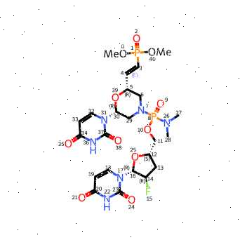 COP(=O)(/C=C/[C@@H]1CN(P(=O)(OC[C@@H]2C[C@@H](F)[C@H](n3ccc(=O)[nH]c3=O)O2)N(C)C)C[C@H](n2ccc(=O)[nH]c2=O)O1)OC